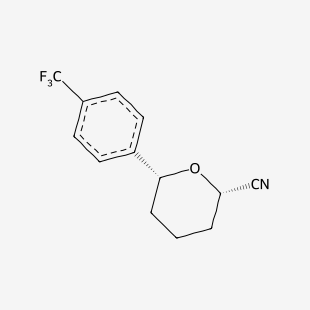 N#C[C@@H]1CCC[C@H](c2ccc(C(F)(F)F)cc2)O1